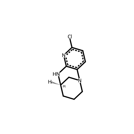 Clc1ccc2c(n1)N[C@@H]1CCCN2C1